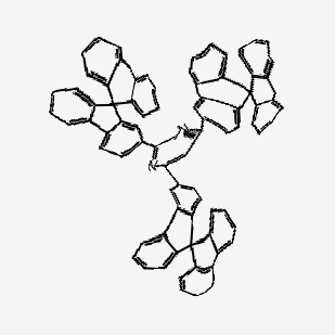 C1=CC2=C(CC1)c1ccccc1C21c2ccccc2-c2cc(-c3cc(-c4ccc5c(c4)-c4ccccc4C54c5ccccc5-c5ccccc54)nc(-c4ccc5c(c4)C4(c6ccccc6-c6ccccc64)c4ccccc4-5)n3)ccc21